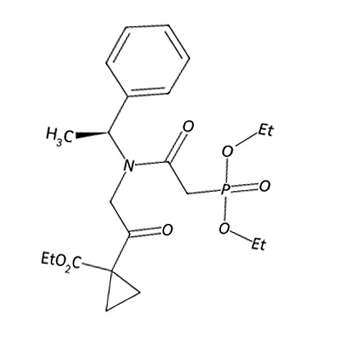 CCOC(=O)C1(C(=O)CN(C(=O)CP(=O)(OCC)OCC)[C@@H](C)c2ccccc2)CC1